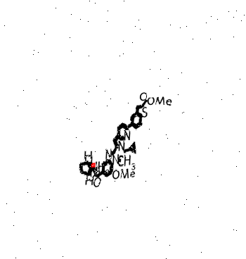 COC(=O)c1cc2cc(-c3ccc4cc(-c5nc6cc(C(=O)N7C[C@H]8CC[C@@H]7[C@@H]8N)cc(OC)c6n5C)n(CC5CC5)c4n3)ccc2s1